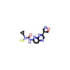 O=C(Nc1ccc2ncc(-c3cnoc3)nc2n1)N(S)C1CC1